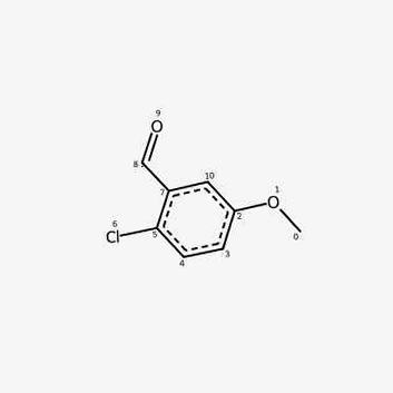 COc1ccc(Cl)c([C]=O)c1